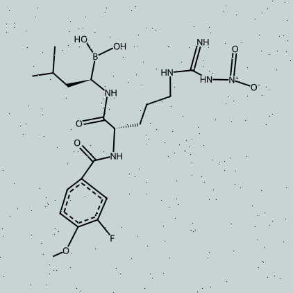 COc1ccc(C(=O)N[C@@H](CCCNC(=N)N[N+](=O)[O-])C(=O)N[C@@H](CC(C)C)B(O)O)cc1F